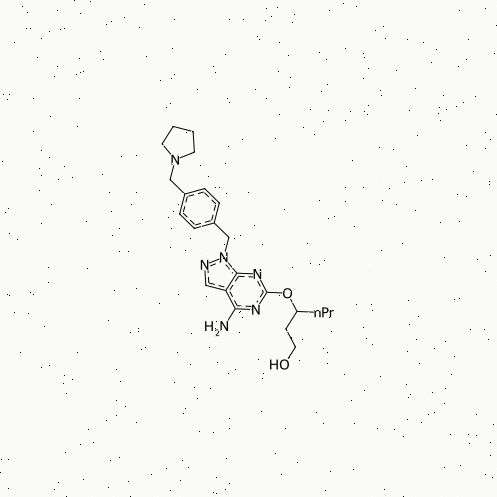 CCCC(CCO)Oc1nc(N)c2cnn(Cc3ccc(CN4CCCC4)cc3)c2n1